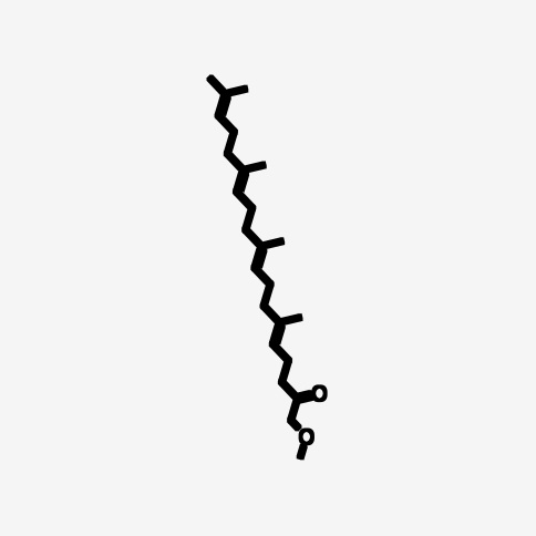 COCC(=O)CC/C=C(\C)CC/C=C(\C)CC/C=C(\C)CCC=C(C)C